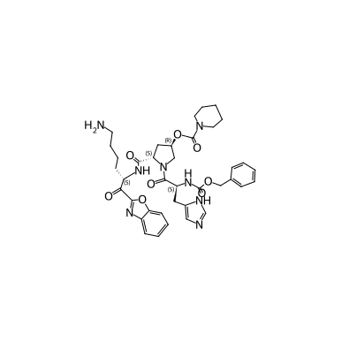 NCCCC[C@H](NC(=O)[C@@H]1C[C@@H](OC(=O)N2CCCCC2)CN1C(=O)[C@H](Cc1cnc[nH]1)NC(=O)OCc1ccccc1)C(=O)c1nc2ccccc2o1